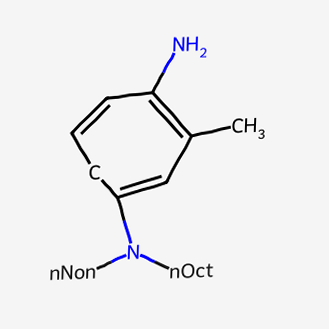 CCCCCCCCCN(CCCCCCCC)C1=CC(C)=C(N)C=CC1